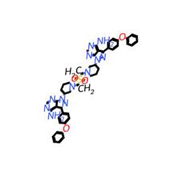 C=C(N1CCCC(n2nc(-c3ccc(Oc4ccccc4)cc3)c3c(N)ncnc32)C1)S(=O)(=O)C(=C)N1CCCC(n2nc(-c3ccc(Oc4ccccc4)cc3)c3c(N)ncnc32)C1